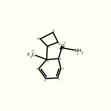 NC(=O)C1C=CC=CC1(C1CCC1)C(F)(F)F